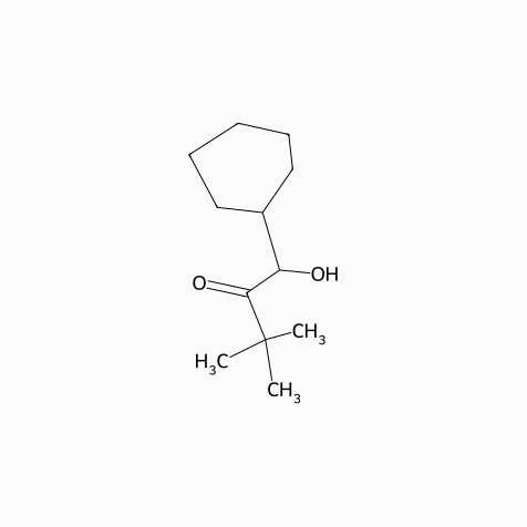 CC(C)(C)C(=O)C(O)C1CCCCC1